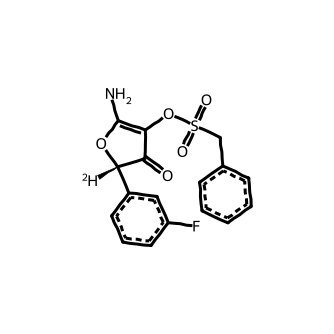 [2H][C@@]1(c2cccc(F)c2)OC(N)=C(OS(=O)(=O)Cc2ccccc2)C1=O